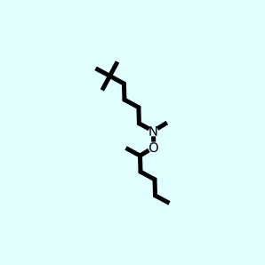 CCCCC(C)ON(C)CCCCC(C)(C)C